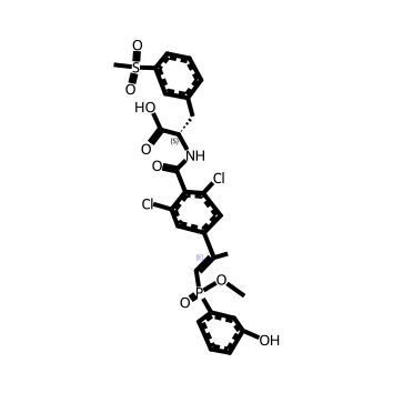 COP(=O)(/C=C(\C)c1cc(Cl)c(C(=O)N[C@@H](Cc2cccc(S(C)(=O)=O)c2)C(=O)O)c(Cl)c1)c1cccc(O)c1